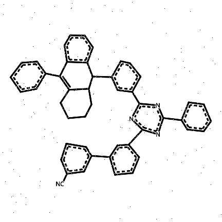 N#Cc1cccc(-c2cccc(-c3nc(-c4ccccc4)nc(-c4cccc(C5c6ccccc6C(c6ccccc6)=C6CCCCC65)c4)n3)c2)c1